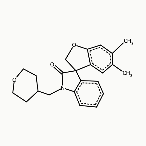 Cc1cc2c(cc1C)C1(CO2)C(=O)N(CC2CCOCC2)c2ccccc21